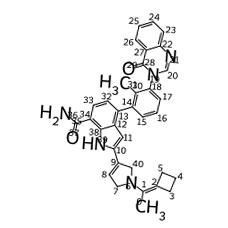 CC(=C1CCC1)N1CC=C(c2cc3c(-c4cccc(-n5cnc6ccccc6c5=O)c4C)ccc(C(N)=O)c3[nH]2)C1